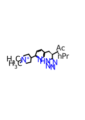 CCC[C@H](C(C)=O)[C@H](Cc1ccc(C2CC[N+](C)(C)CC2)nc1)c1nnn[nH]1